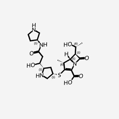 C[C@@H](O)[C@H]1C(=O)N2C(C(=O)O)=C(S[C@@H]3CN[C@H](C(O)CC(=O)N[C@H]4CCNC4)C3)[C@H](C)[C@H]12